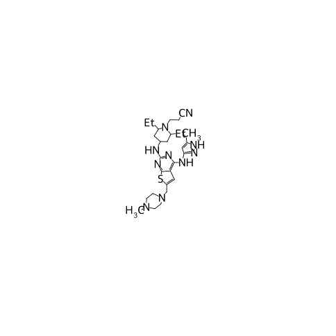 CCC1CC(Nc2nc(Nc3cc(C)[nH]n3)c3cc(CN4CCN(C)CC4)sc3n2)CC(CC)N1CCC#N